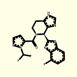 O=C(c1ccnn1C(F)F)N1CCc2[nH]cnc2[C@H]1c1nc2c(F)cccc2s1